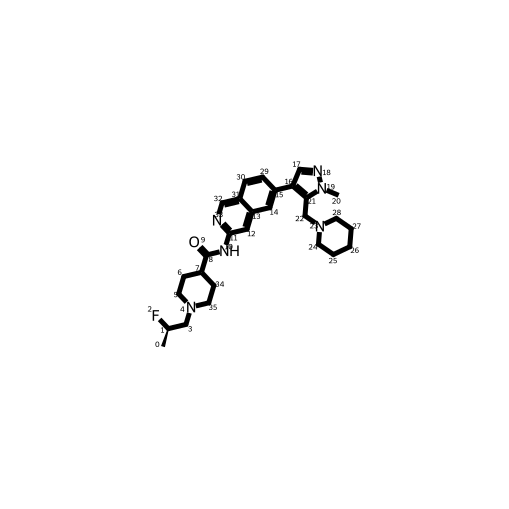 C[C@@H](F)CN1CCC(C(=O)Nc2cc3cc(-c4cnn(C)c4CN4CCCCC4)ccc3cn2)CC1